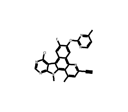 C#Cc1cc(C)c2c(n1)c1cc(Oc3nccc(C)n3)c(F)cc1c1c3c(Cl)ncnc3n(C)c21